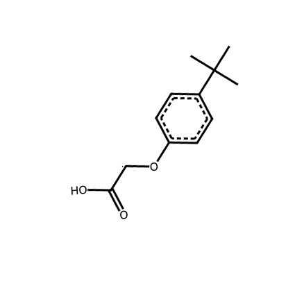 CC(C)(C)c1ccc(O[CH]C(=O)O)cc1